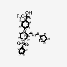 C[C@](O)(c1ccc(N2CCN(S(=O)(=O)c3cccs3)C[C@@H]2COC[C@@H]2CCCO2)cc1)C(F)(F)F